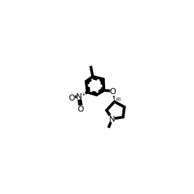 Cc1cc(O[C@@H]2CCN(C)C2)cc([N+](=O)[O-])c1